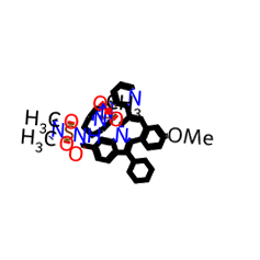 COc1ccc2c(c1)C=C(c1ncccc1S(=O)(=O)N1C3CCC1CN(C)C3)Cn1c-2c(C2CCCCC2)c2ccc(C(=O)NS(=O)(=O)N(C)C)cc21